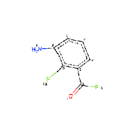 Nc1cccc(C(=O)F)c1F